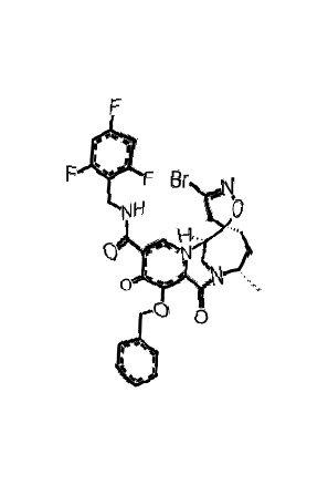 C[C@H]1CC[C@@]2(CC(Br)=NO2)[C@H]2CN1C(=O)c1c(OCc3ccccc3)c(=O)c(C(=O)NCc3c(F)cc(F)cc3F)cn12